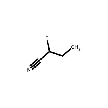 CCC(F)C#N